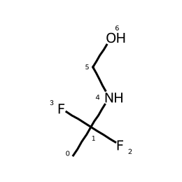 CC(F)(F)NCO